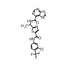 CC(NC(=O)c1ncnc2scnc12)c1ncc(C(=O)Nc2ccc(C(F)(F)F)c(Cl)c2)s1